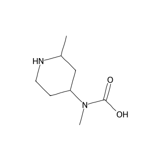 CC1CC(N(C)C(=O)O)CCN1